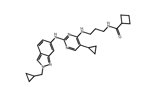 O=C(NCCCNc1nc(Nc2ccc3cn(CC4CC4)nc3c2)ncc1C1CC1)C1CCC1